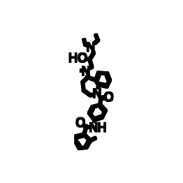 CCN(CC)CC(O)CN(C)C1CCCN(C(=O)c2ccc(NC(=O)c3ccccc3C)cc2)c2ccccc21